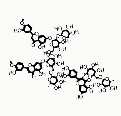 COc1ccc(-c2cc(=O)c3c(O)cc(O[C@@H]4O[C@H](CO[C@@H]5O[C@@H](C)[C@H](O)[C@@H](O)[C@H]5O)[C@@H](O)[C@H](O)[C@H]4O)cc3o2)cc1O.COc1ccc(C2CC(=O)c3c(O)cc(O[C@@H]4O[C@H](CO)[C@@H](O)[C@H](O)[C@H]4O[C@@H]4O[C@@H](C)[C@H](O)[C@@H](O)[C@H]4O)cc3O2)cc1O.C[C@@H]1O[C@@H](OC[C@H]2O[C@@H](Oc3c(-c4ccc(O)c(O)c4)oc4cc(O)cc(O)c4c3=O)[C@H](O)[C@@H](O)[C@@H]2O)[C@H](O)[C@H](O)[C@H]1O